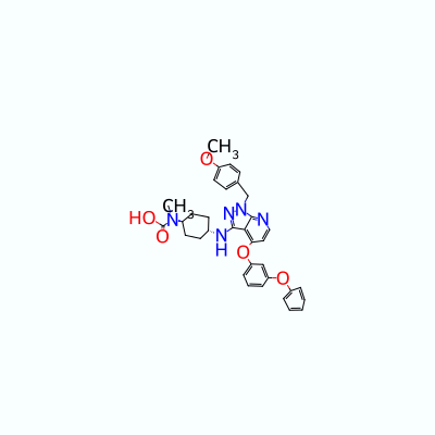 COc1ccc(Cn2nc(N[C@H]3CC[C@H](N(C)C(=O)O)CC3)c3c(Oc4cccc(Oc5ccccc5)c4)ccnc32)cc1